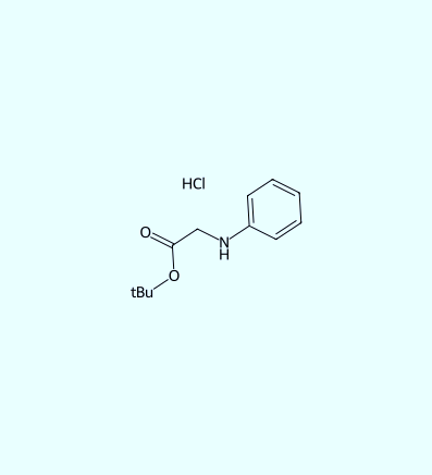 CC(C)(C)OC(=O)CNc1ccccc1.Cl